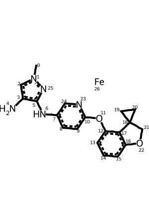 Cn1cc(N)c(Nc2ccc(Oc3cccc4c3C3(CC3)CO4)nc2)n1.[Fe]